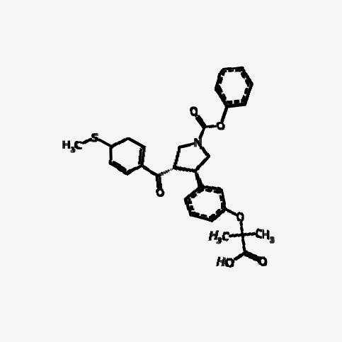 CSC1C=CC(C(=O)[C@@H]2CN(C(=O)Oc3ccccc3)C[C@H]2c2cccc(OC(C)(C)C(=O)O)c2)=CC1